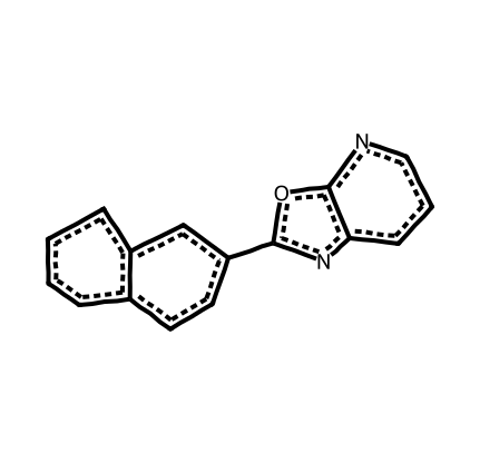 c1ccc2cc(-c3nc4cccnc4o3)ccc2c1